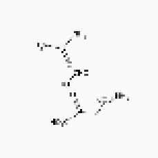 N.NC(N)=O.O=C(O)CC(=O)C(=O)O.O=CO